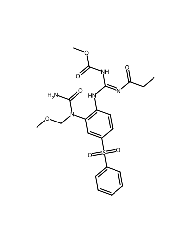 CCC(=O)N=C(NC(=O)OC)Nc1ccc(S(=O)(=O)c2ccccc2)cc1N(COC)C(N)=O